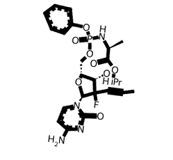 CC#CC1(F)[C@@H](O)[C@@H](COP(=O)(N[C@@H](C)C(=O)OC(C)C)Oc2ccccc2)O[C@H]1n1ccc(N)nc1=O